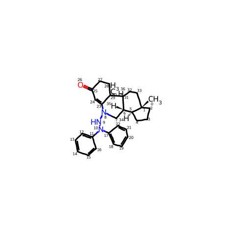 C[C@@]12CCC[C@H]1[C@@H]1CN(NN(c3ccccc3)c3ccccc3)C3=CC(=O)CC[C@]3(C)[C@H]1CC2